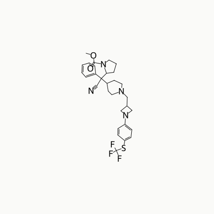 COC(=O)N1CCCC1C(C#N)(c1ccccc1)C1CCN(CC2CN(c3ccc(SC(F)(F)F)cc3)C2)CC1